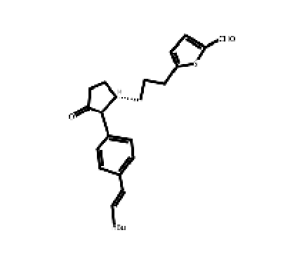 CCCCC=Cc1ccc(C2C(=O)CC[C@@H]2CCCc2ccc(C=O)s2)cc1